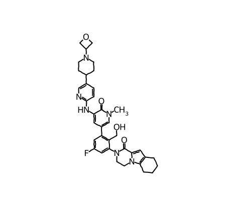 Cn1cc(-c2cc(F)cc(N3CCn4c(cc5c4CCCC5)C3=O)c2CO)cc(Nc2ccc(C3CCN(C4COC4)CC3)cn2)c1=O